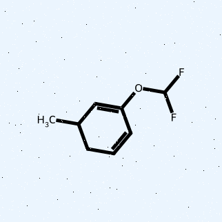 CC1C=C(OC(F)F)C=CC1